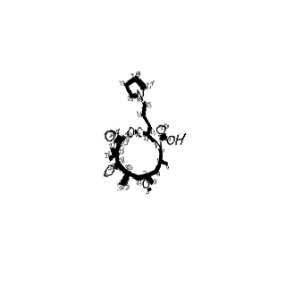 COC1(C)CC(C)CN(C(=O)O)C(CCCN2CCCC2)COC(=O)C(C)(C)C(=O)C(C)C1